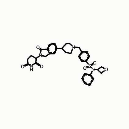 O=C1CCC(N2Cc3cc(C4CCN(Cc5ccc(S(=O)(=O)N(c6ccccc6)C6COC6)cc5)CC4)ccc3C2=O)C(=O)N1